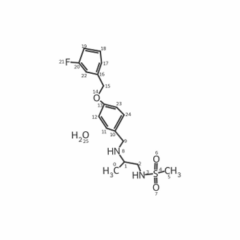 CC(CNS(C)(=O)=O)NCc1ccc(OCc2cccc(F)c2)cc1.O